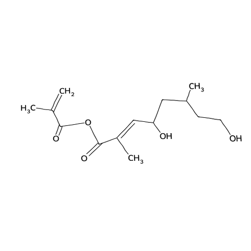 C=C(C)C(=O)OC(=O)C(C)=CC(O)CC(C)CCO